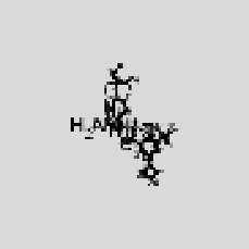 CCC(CC)Oc1ccc2n(n1)c(N)n[n+]2CC(=O)c1cc(C2CCC2)cc(C(C)(C)C)c1OC